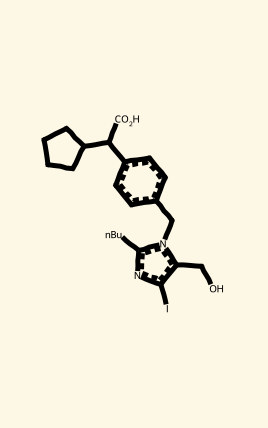 CCCCc1nc(I)c(CO)n1Cc1ccc(C(C(=O)O)C2CCCC2)cc1